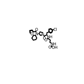 O=C(O)NCCC(=O)NC(Cc1ccc(Cl)cc1)C(=O)N1CC[C@H](N(C(=O)c2ccco2)C2CCCCC2)C1